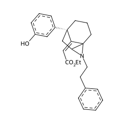 CCOC(=O)/C=C1\C23CCC[C@]1(c1cccc(O)c1)CC2N3CCc1ccccc1